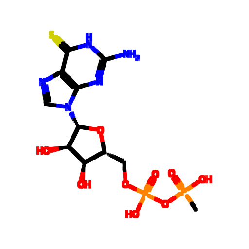 CP(=O)(O)OP(=O)(O)OC[C@H]1O[C@@H](n2cnc3c(=S)[nH]c(N)nc32)[C@H](O)[C@@H]1O